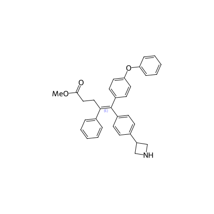 COC(=O)CC/C(=C(\c1ccc(Oc2ccccc2)cc1)c1ccc(C2CNC2)cc1)c1ccccc1